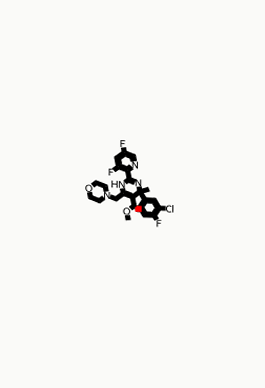 COC(=O)C1=C(CN2CCOCC2)NC(c2ncc(F)cc2F)=NC1(C)c1ccc(F)c(Cl)c1